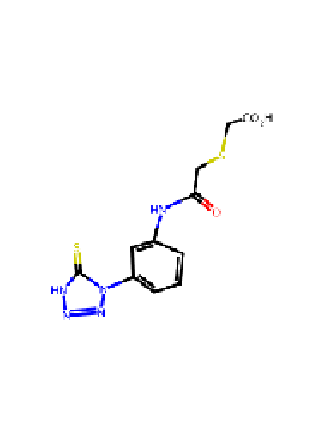 O=C(O)CSCC(=O)Nc1cccc(-n2nn[nH]c2=S)c1